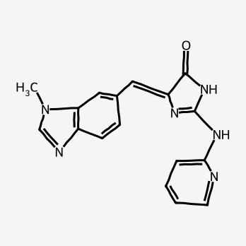 Cn1cnc2ccc(/C=C3\N=C(Nc4ccccn4)NC3=O)cc21